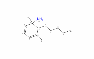 CCCCCC1C(C)=CC=CC1(C)N